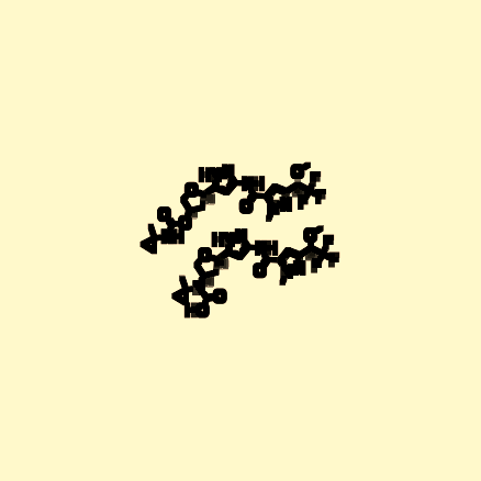 CO[C@@H](c1cc(C(=O)Nc2cc([C@H]3C[C@@H](OC(=O)NC4(C)CC4)CO3)[nH]n2)n(C)n1)C(F)(F)F.CO[C@H](c1cc(C(=O)Nc2cc([C@H]3C[C@@H](N(C(=O)O)C4(C)CC4)CO3)[nH]n2)n(C)n1)C(F)(F)F